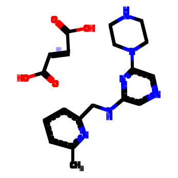 Cc1cccc(CNc2cncc(N3CCNCC3)n2)n1.O=C(O)/C=C/C(=O)O